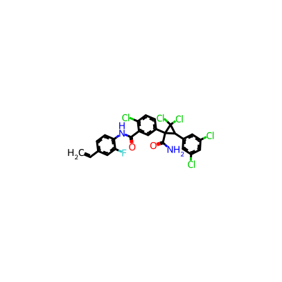 C=Cc1ccc(NC(=O)c2cc(C3(C(N)=O)C(c4cc(Cl)cc(Cl)c4)C3(Cl)Cl)ccc2Cl)c(F)c1